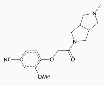 COc1cc(C#N)ccc1OCC(=O)N1CC2CN(C)CC2C1